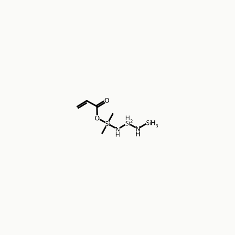 C=CC(=O)O[Si](C)(C)N[SiH2]N[SiH3]